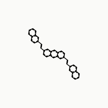 C(=Cc1ccc2cc3cc(C=Cc4ccc5ccccc5c4)ccc3cc2c1)c1ccc2ccccc2c1